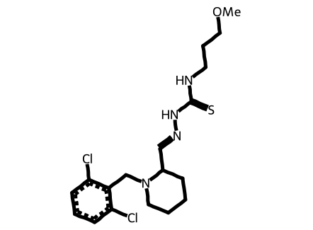 COCCCNC(=S)NN=CC1CCCCN1Cc1c(Cl)cccc1Cl